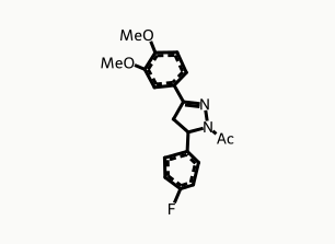 COc1ccc(C2=NN(C(C)=O)C(c3ccc(F)cc3)C2)cc1OC